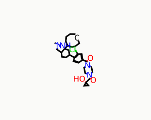 CN1CC2CCC(c3ccc(C(=O)N4CCN(C(=O)C5(O)CC5)CC4)cc3Cl)CC2(C2CCCCCCCC2)N1